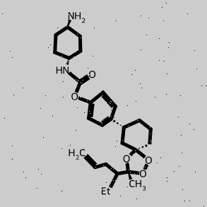 C=CCC(CC)[C@@]1(C)OO[C@@]2(CCC[C@@H](c3ccc(OC(=O)N[C@H]4CC[C@H](N)CC4)cc3)C2)O1